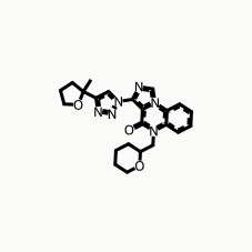 CC1(c2cn(-c3ncn4c3c(=O)n(CC3CCCCO3)c3ccccc34)nn2)CCCO1